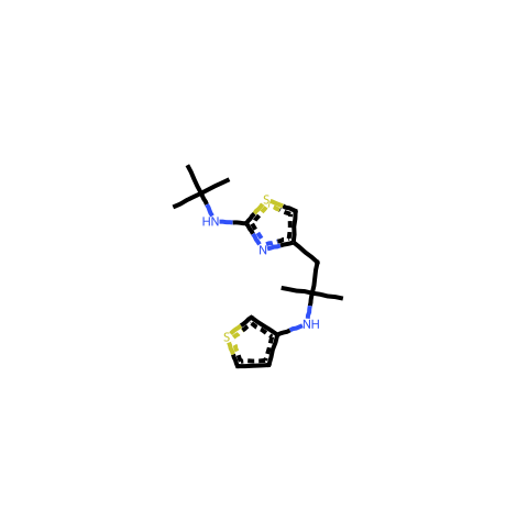 CC(C)(C)Nc1nc(CC(C)(C)Nc2ccsc2)cs1